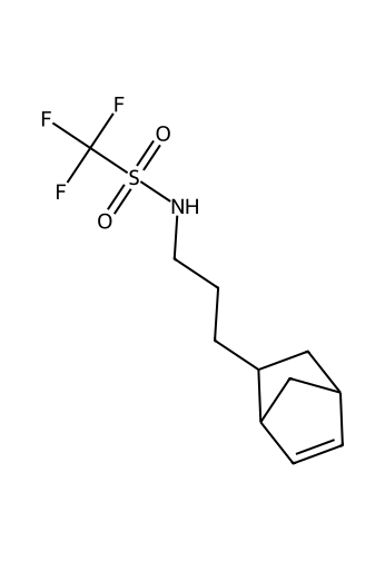 O=S(=O)(NCCCC1CC2C=CC1C2)C(F)(F)F